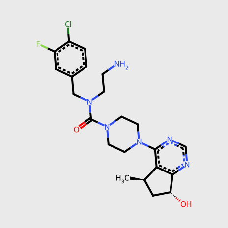 C[C@@H]1C[C@@H](O)c2ncnc(N3CCN(C(=O)N(CCN)Cc4ccc(Cl)c(F)c4)CC3)c21